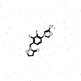 O=C1CCON1Cc1ccc(N2C=C(C(F)(F)F)OC2)c(F)c1F